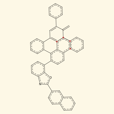 C=C1C(c2ccccc2)=CC(c2ccccc2-c2c(-c3cccc4nc(-c5ccc6ccccc6c5)oc34)ccc3ccccc23)=CC1c1ccccc1